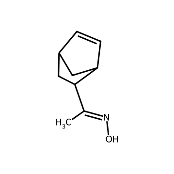 CC(=NO)C1CC2C=CC1C2